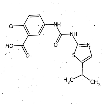 CC(C)c1cnc(NC(=O)Nc2ccc(Cl)c(C(=O)O)c2)s1